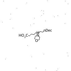 C1COCCN1.CCCCCCCCCCCCCCCCCC(=O)O